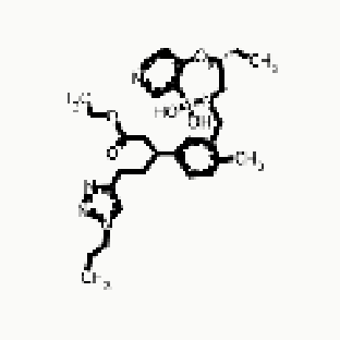 CCCn1cc(CCC(CC(=O)OCC)c2ccc(C)c(CN3C[C@@H](CC)Oc4ccncc4S3(O)O)c2)nn1